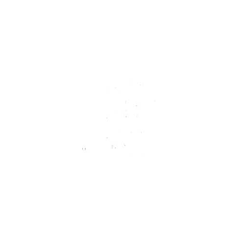 COCC1Nc2ccccc2C2C1CCN2C(=O)O.Cc1ccc(S(=O)(=O)O)cc1